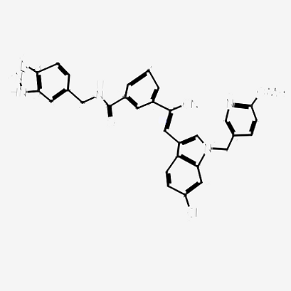 COc1ccc(Cn2cc(/C=C(\C#N)c3cccc(C(=O)NCc4ccc5nn[nH]c5c4)c3)c3ccc(Cl)cc32)cn1